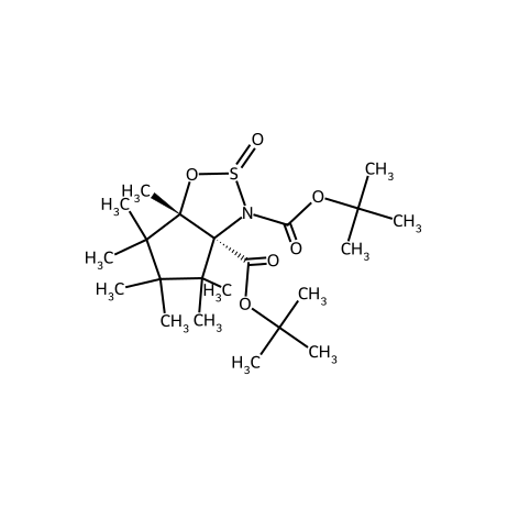 CC(C)(C)OC(=O)N1S(=O)O[C@@]2(C)C(C)(C)C(C)(C)C(C)(C)[C@]12C(=O)OC(C)(C)C